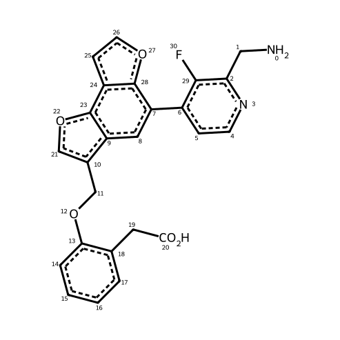 NCc1nccc(-c2cc3c(COc4ccccc4CC(=O)O)coc3c3ccoc23)c1F